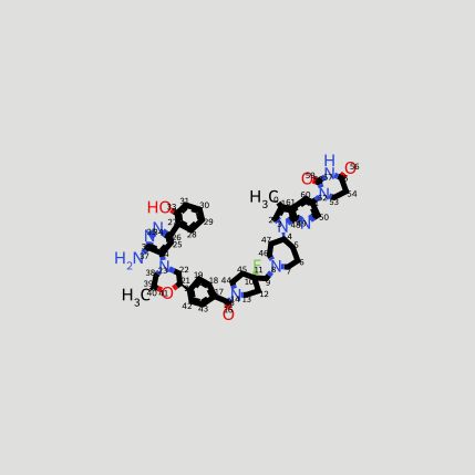 Cc1cn([C@H]2CCCN(CC3(F)CCN(C(=O)c4ccc([C@@H]5CN(c6cc(-c7ccccc7O)nnc6N)C[C@H](C)O5)cc4)CC3)CC2)c2ncc(N3CCC(=O)NC3=O)cc12